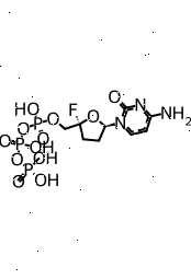 Nc1ccn([C@H]2CC[C@@](F)(COP(=O)(O)OP(=O)(O)OP(=O)(O)O)O2)c(=O)n1